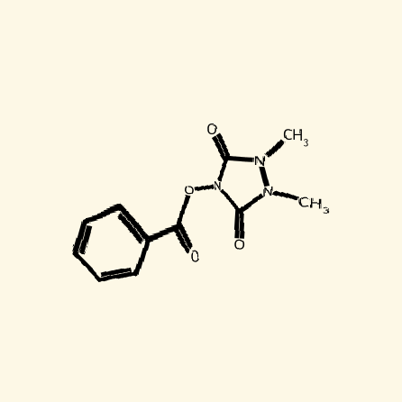 Cn1c(=O)n(OC(=O)c2ccccc2)c(=O)n1C